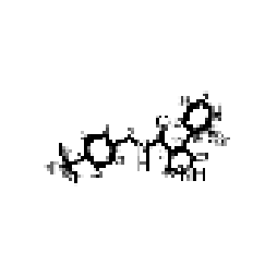 O=C(NCc1ccc(C(F)(F)F)cc1)C1=C(c2cccnc2Br)CNC1